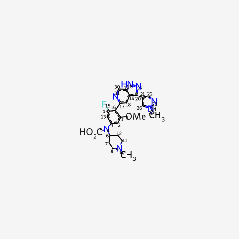 COc1cc(N(C(=O)O)C2CCN(C)CC2)cc(F)c1-c1cc2c(-c3cnn(C)c3)n[nH]c2cn1